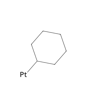 [Pt][CH]1CCCCC1